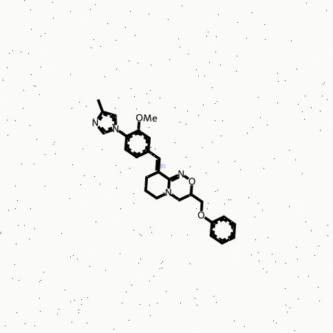 COc1cc(/C=C2\CCCN3CC(COc4ccccc4)ON=C23)ccc1-n1cnc(C)c1